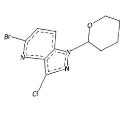 Clc1nn(C2CCCCO2)c2ccc(Br)nc12